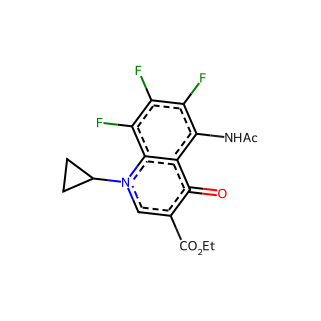 CCOC(=O)c1cn(C2CC2)c2c(F)c(F)c(F)c(NC(C)=O)c2c1=O